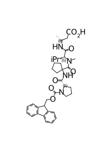 CC(C)[C@@H](C(=O)N[C@H](C)CC(=O)O)N(C)C(=O)C1(NC(=O)[C@@H]2CCCN2C(=O)OCC2c3ccccc3-c3ccccc32)CCCC1